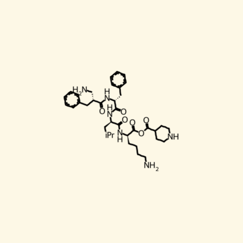 CC(C)C[C@@H](NC(=O)[C@@H](Cc1ccccc1)NC(=O)[C@@H](CN)Cc1ccccc1)C(=O)N[C@H](CCCCN)C(=O)OC(=O)C1CCNCC1